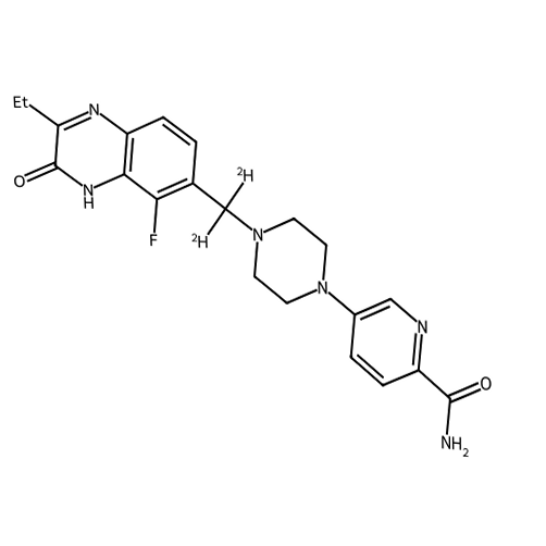 [2H]C([2H])(c1ccc2nc(CC)c(=O)[nH]c2c1F)N1CCN(c2ccc(C(N)=O)nc2)CC1